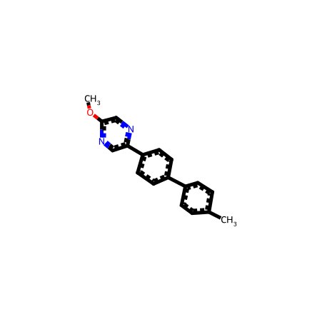 COc1cnc(-c2ccc(-c3ccc(C)cc3)cc2)cn1